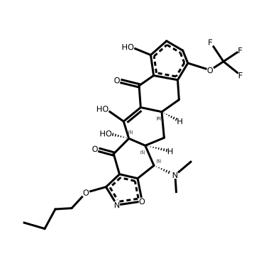 CCCCOc1noc2c1C(=O)[C@@]1(O)C(O)=C3C(=O)c4c(O)ccc(OC(F)(F)F)c4C[C@H]3C[C@H]1[C@@H]2N(C)C